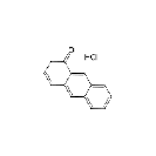 Cl.O=C1CC=Cc2cc3ccccc3cc21